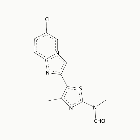 Cc1nc(N(C)C=O)sc1-c1cn2cc(Cl)ccc2n1